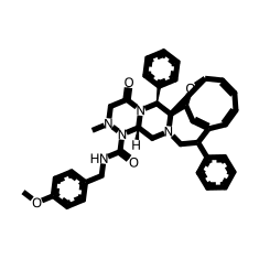 COc1ccc(CNC(=O)N2[C@H]3CN4CC(c5ccccc5)C5=CC6OC(/C=C\C=C/5)C64[C@H](c4ccccc4)N3C(=O)CN2C)cc1